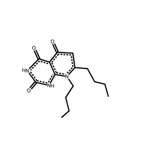 CCCCc1cc(=O)c2c(=O)[nH]c(=O)[nH]c2n1CCCC